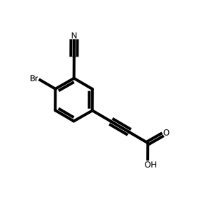 N#Cc1cc(C#CC(=O)O)ccc1Br